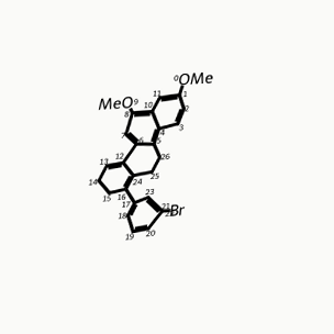 COc1ccc2c3c(cc(OC)c2c1)C1=CCCC(c2cccc(Br)c2)=C1CC3